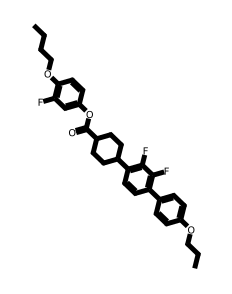 CCCCOc1ccc(OC(=O)C2CCC(c3ccc(-c4ccc(OCCC)cc4)c(F)c3F)CC2)cc1F